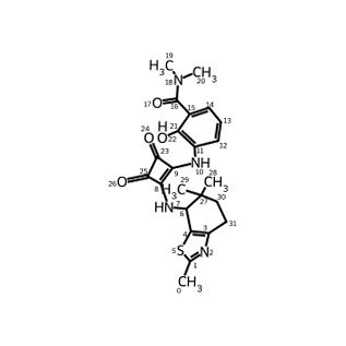 Cc1nc2c(s1)C(Nc1c(Nc3cccc(C(=O)N(C)C)c3O)c(=O)c1=O)C(C)(C)CC2